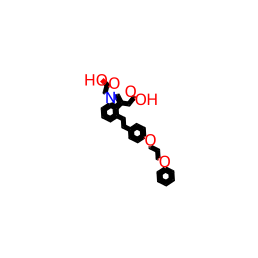 O=C(O)Cc1cn(CC(=O)O)c2cccc(CCc3ccc(OCCCOc4ccccc4)cc3)c12